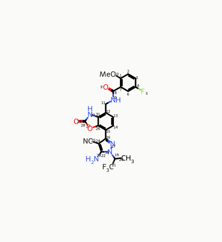 COc1ccc(F)cc1C(=O)NCc1ccc(-c2nn(C(C)C(F)(F)F)c(N)c2C#N)c2oc(=O)[nH]c12